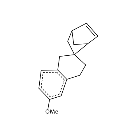 COc1ccc2c(c1)CCC1(C2)CC2C=CC1C2